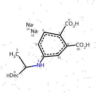 CCCCCCCCCCC(C)Nc1ccc(C(=O)O)c(C(=O)O)c1.[Na].[Na]